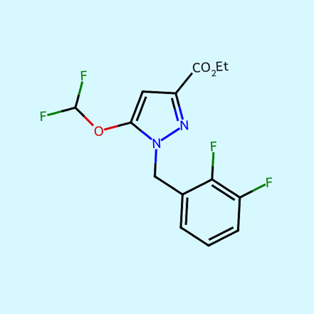 CCOC(=O)c1cc(OC(F)F)n(Cc2cccc(F)c2F)n1